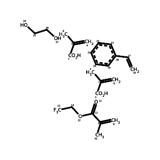 C=C(C)C(=O)O.C=C(C)C(=O)O.C=C(C)C(=O)OCC(F)(F)F.C=Cc1ccccc1.OCCO